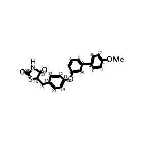 COc1ccc(-c2cccc(Oc3ccc(CC4SC(=O)NC4=O)cc3)c2)cc1